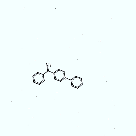 N=C(c1ccccc1)c1ccc(-c2ccccc2)cc1